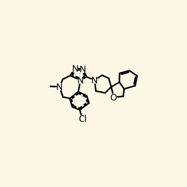 CN1Cc2cc(Cl)ccc2-n2c(nnc2N2CCC3(CC2)OCC2C=CC=CC23)C1